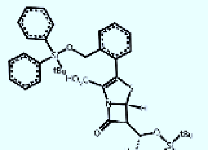 C[C@@H](O[Si](C)(C)C(C)(C)C)[C@H]1C(=O)N2C(C(=O)O)=C(c3ccccc3CO[Si](c3ccccc3)(c3ccccc3)C(C)(C)C)S[C@H]12